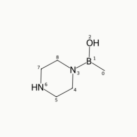 CB(O)N1CCNCC1